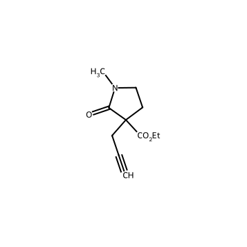 C#CCC1(C(=O)OCC)CCN(C)C1=O